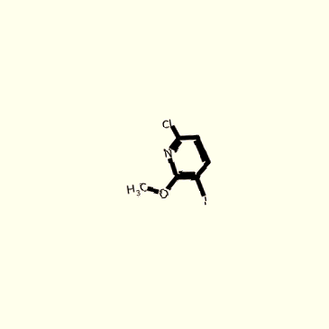 COc1nc(Cl)ccc1I